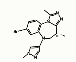 Cc1nnc2n1-c1ccc(Br)cc1N(c1cnn(C)c1)C[C@H]2C